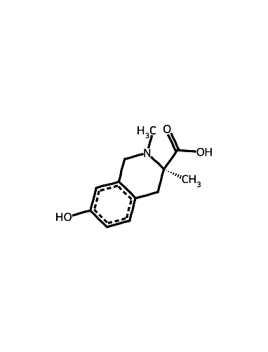 CN1Cc2cc(O)ccc2C[C@]1(C)C(=O)O